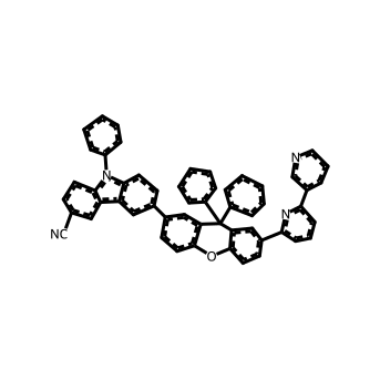 N#Cc1ccc2c(c1)c1cc(-c3ccc4c(c3)C(c3ccccc3)(c3ccccc3)c3cc(-c5cccc(-c6cccnc6)n5)ccc3O4)ccc1n2-c1ccccc1